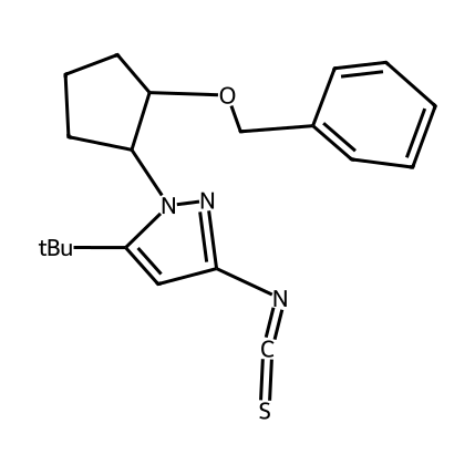 CC(C)(C)c1cc(N=C=S)nn1C1CCCC1OCc1ccccc1